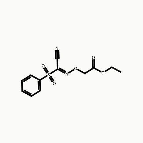 CCOC(=O)CON=C(C#N)S(=O)(=O)c1ccccc1